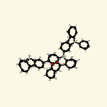 c1ccc(-n2c3ccccc3c3ccc(N(c4ccc(-c5ccc6c(c5)sc5ccccc56)cc4)c4ccccc4-c4ccc5ccccc5c4)cc32)cc1